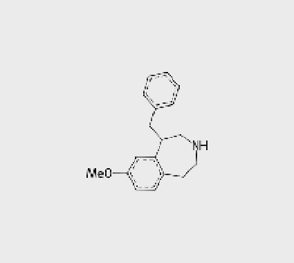 COc1ccc2c(c1)C(Cc1ccccc1)CNCC2